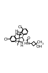 CC1(O)CC(NC(=O)[C@@H]2NC(F)(F)[C@@]3(C(=O)Nc4cc(Cl)ccc43)[C@H]2c2cccc(Cl)c2F)C1